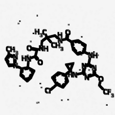 Cc1ccn(-c2ccccc2NC(=O)C(=O)NCC(C)(C)CNC(=O)c2ccc(Nc3nc(NC4(c5ccc(Cl)cc5)CC4)nc(OCC(F)(F)F)n3)cc2)n1